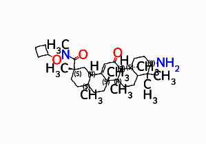 CN(OC1CCC1)C(=O)[C@@]1(C)CC[C@]2(C)CC[C@]3(C)C(=CC(=O)[C@@H]4[C@@]5(C)CC[C@H](N)C(C)(C)C5CC[C@]43C)[C@@H]2C1